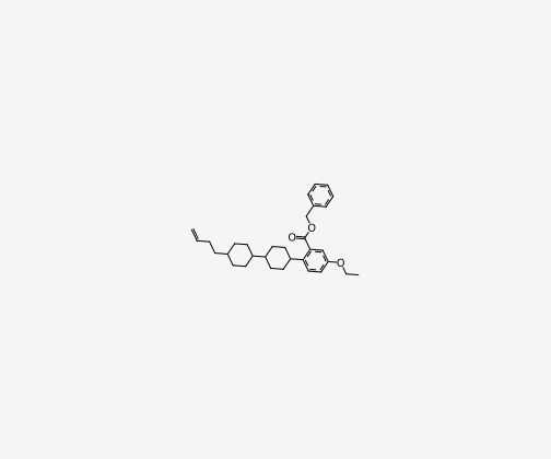 C=CCCC1CCC(C2CCC(c3ccc(OCC)cc3C(=O)OCc3ccccc3)CC2)CC1